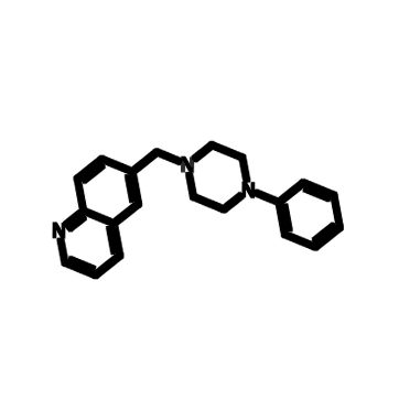 c1ccc(N2CCN(Cc3ccc4ncccc4c3)CC2)cc1